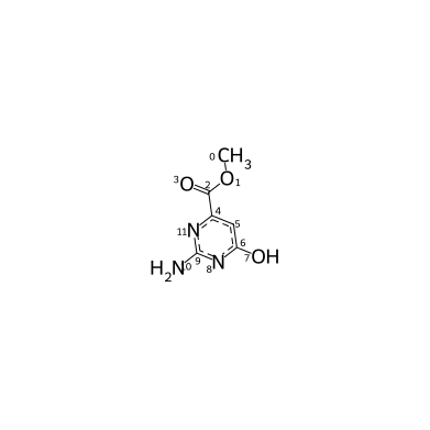 COC(=O)c1cc(O)nc(N)n1